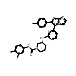 O=C(Nc1ccc(F)c(F)c1)N1CCC[C@@H](Nc2nccc(-c3c(-c4ccc(F)cc4)nc4occn34)n2)C1